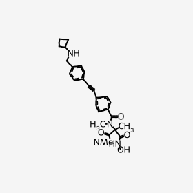 CNC(=O)C(C)(C(=O)NO)N(C)C(=O)c1ccc(C#Cc2ccc(CNC3CCC3)cc2)cc1